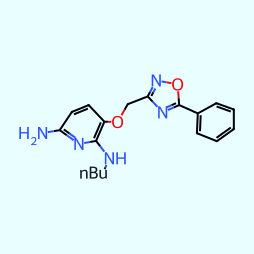 CCCCNc1nc(N)ccc1OCc1noc(-c2ccccc2)n1